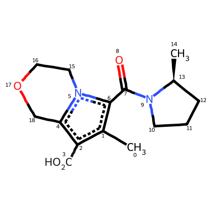 Cc1c(C(=O)O)c2n(c1C(=O)N1CCC[C@@H]1C)CCOC2